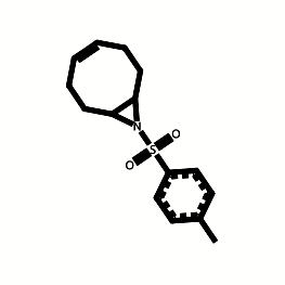 Cc1ccc(S(=O)(=O)N2C3CC/C=C\CCC32)cc1